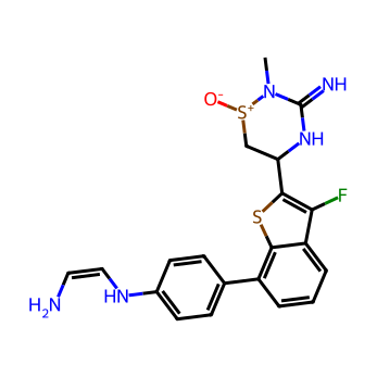 CN1C(=N)NC(c2sc3c(-c4ccc(N/C=C\N)cc4)cccc3c2F)C[S+]1[O-]